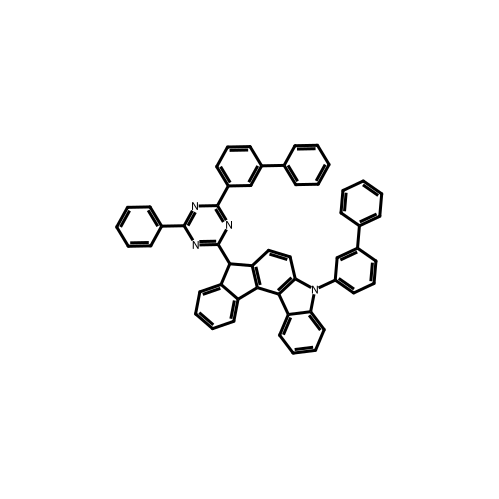 c1ccc(-c2cccc(-c3nc(-c4ccccc4)nc(C4c5ccccc5-c5c4ccc4c5c5ccccc5n4-c4cccc(-c5ccccc5)c4)n3)c2)cc1